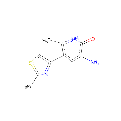 CCCc1nc(-c2cc(N)c(=O)[nH]c2C)cs1